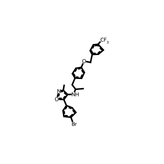 Cc1noc(-c2ccc(Br)cc2)c1NC(C)Cc1ccc(OCc2ccc(C(F)(F)F)cc2)cc1